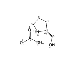 CCC(N)=O.OC[C@@H]1CCCN1